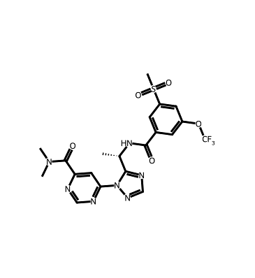 C[C@H](NC(=O)c1cc(OC(F)(F)F)cc(S(C)(=O)=O)c1)c1ncnn1-c1cc(C(=O)N(C)C)ncn1